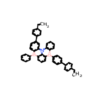 C=Cc1ccc(-c2ccc(B3c4ccccc4N4c5cc(-c6ccc(C=C)cc6)ccc5B(c5ccccc5)c5cccc3c54)cc2)cc1